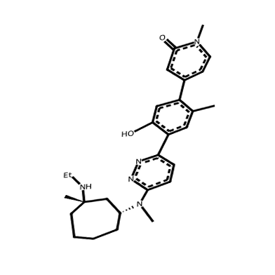 CCN[C@@]1(C)CCCC[C@@H](N(C)c2ccc(-c3cc(C)c(-c4ccn(C)c(=O)c4)cc3O)nn2)C1